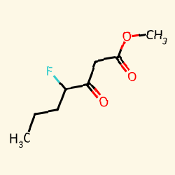 CCCC(F)C(=O)CC(=O)OC